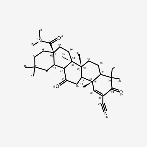 CN(C)C(=O)[C@]12CCC(C)(C)CC1C1C(=O)CC3[C@@]4(C)C=C(C#N)C(=O)C(C)(C)C4CC[C@@]3(C)[C@]1(C)CC2